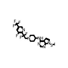 Fc1cc(C(F)(F)F)cnc1C(F)(F)CN1CCC(Nc2ncnc3c2ccn3SI)CC1